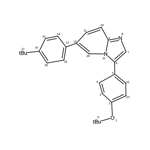 CC(C)(C)Oc1ccc(-c2cnc3ccc(-c4ccc(C(C)(C)C)cc4)cn23)cc1